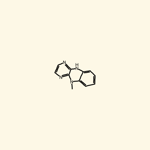 CN1c2ccccc2Nc2nccnc21